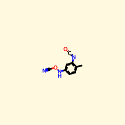 Cc1ccc(NOC#N)cc1N=C=O